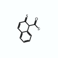 O=C([S])C1C(=S)C=Cc2ccccc21